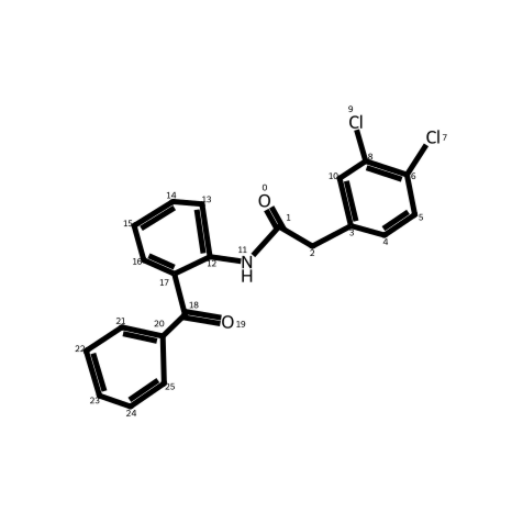 O=C(Cc1ccc(Cl)c(Cl)c1)Nc1ccccc1C(=O)c1ccccc1